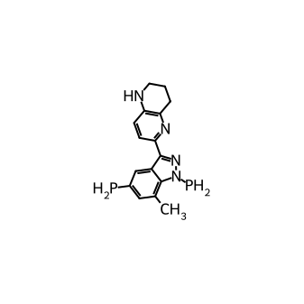 Cc1cc(P)cc2c(-c3ccc4c(n3)CCCN4)nn(P)c12